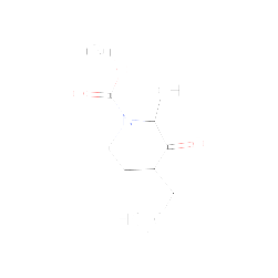 CC1C(=O)C(CC(=O)O)CCN1C(=O)OC(C)(C)C